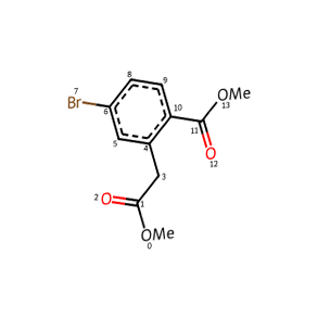 COC(=O)Cc1cc(Br)ccc1C(=O)OC